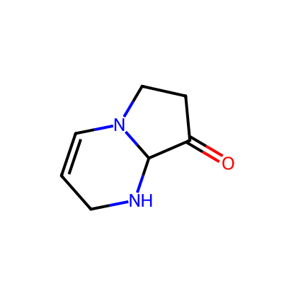 O=C1CCN2C=CCNC12